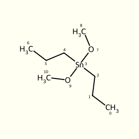 CC[CH2][Sn]([CH2]CC)([O]C)[O]C